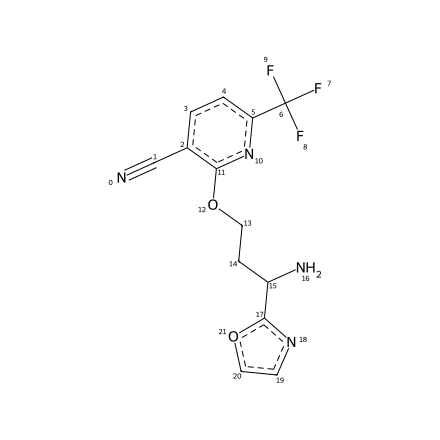 N#Cc1ccc(C(F)(F)F)nc1OCCC(N)c1ncco1